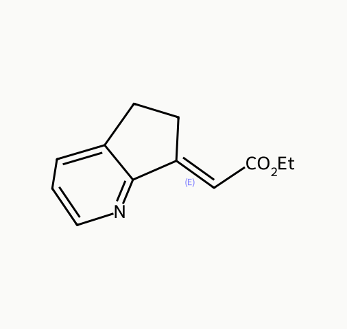 CCOC(=O)/C=C1\CCc2cccnc21